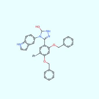 CC(C)c1cc(C2=NNC(O)N2c2ccc3[nH]ccc3c2)c(OCc2ccccc2)cc1OCc1ccccc1